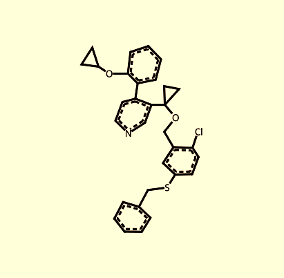 Clc1ccc(SCc2ccccc2)cc1COC1(c2cnccc2-c2ccccc2OC2CC2)CC1